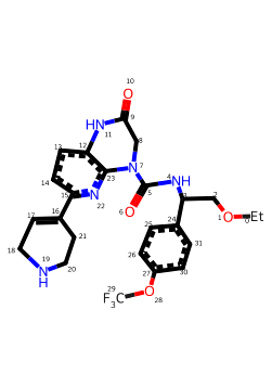 CCOCC(NC(=O)N1CC(=O)Nc2ccc(C3=CCNCC3)nc21)c1ccc(OC(F)(F)F)cc1